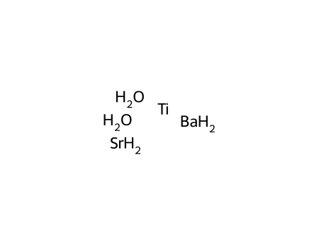 O.O.[BaH2].[SrH2].[Ti]